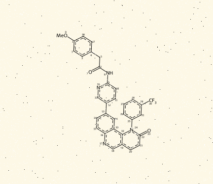 COc1ccc(CC(=O)Nc2ccc(-c3ccc4ncc5ccc(=O)n(-c6cccc(C(F)(F)F)c6)c5c4c3)cn2)cc1